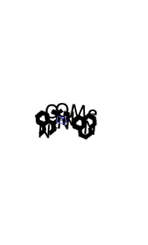 COC(=O)/C(=N\N(C)c1cc2c3c(c1)CCCN3CCC2)c1cc[n+](C)c2ccccc12